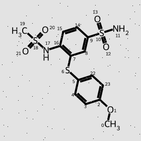 COc1ccc(Sc2cc(S(N)(=O)=O)ccc2NS(C)(=O)=O)cc1